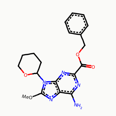 COc1nc2c(N)nc(C(=O)OCc3ccccc3)nc2n1C1CCCCO1